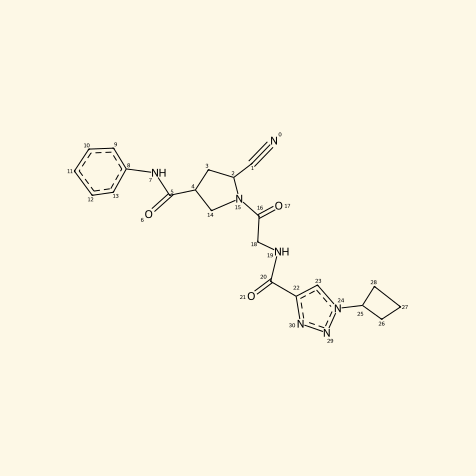 N#CC1CC(C(=O)Nc2ccccc2)CN1C(=O)CNC(=O)c1cn(C2CCC2)nn1